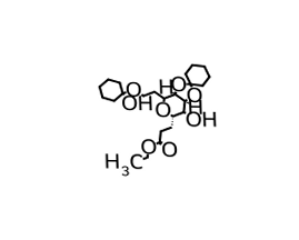 CCOC(=O)CC[C@@H]1OC(CCOC2(O)CCCCC2)[C@H]2OC3(CCCCC3)O[C@H]2[C@H]1O